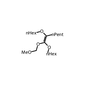 CCCCCCOC(CCCCC)=C(OCCCCCC)OCOC